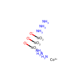 N.N.N.N.N.N.O=[N+]([O-])[O-].O=[N+]([O-])[O-].O=[N+]([O-])[O-].[Co+3]